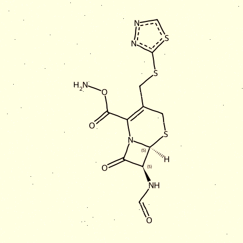 NOC(=O)C1=C(CSc2nncs2)CS[C@H]2[C@@H](NC=O)C(=O)N12